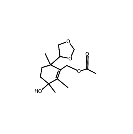 CC(=O)OCC1=C(C)C(C)(O)CCC1(C)C1COCO1